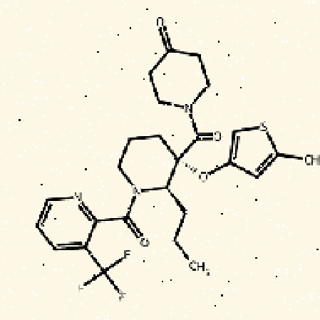 CCC[C@H]1N(C(=O)c2ncccc2C(F)(F)F)CCC[C@@]1(Oc1csc(C)c1)C(=O)N1CCC(=O)CC1